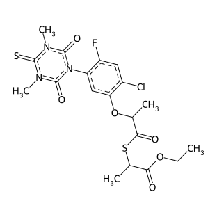 CCOC(=O)C(C)SC(=O)C(C)Oc1cc(-n2c(=O)n(C)c(=S)n(C)c2=O)c(F)cc1Cl